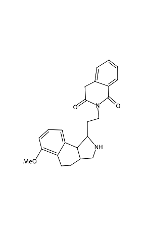 COc1cccc2c1CCC1CNC(CCN3C(=O)Cc4ccccc4C3=O)C21